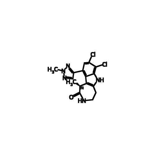 C[C@@H]1C(=O)NCCc2[nH]c3c(Cl)c(Cl)cc(-c4cnn(C)n4)c3c21